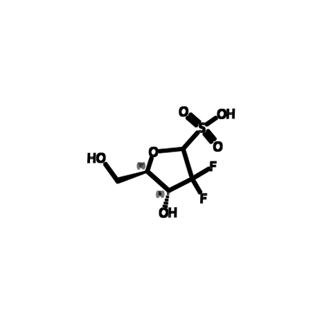 O=S(=O)(O)C1O[C@H](CO)[C@@H](O)C1(F)F